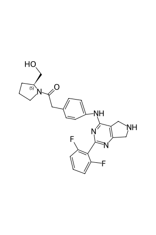 O=C(Cc1ccc(Nc2nc(-c3c(F)cccc3F)nc3c2CNC3)cc1)N1CCC[C@H]1CO